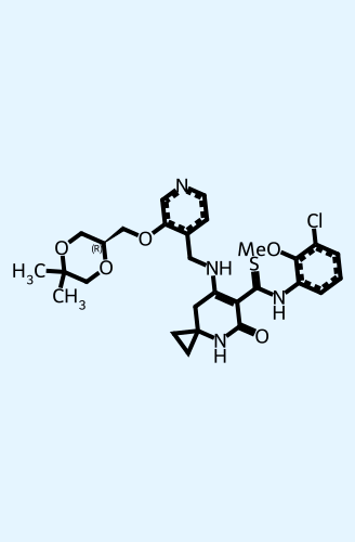 COc1c(Cl)cccc1NC(=S)C1=C(NCc2ccncc2OC[C@@H]2COC(C)(C)CO2)CC2(CC2)NC1=O